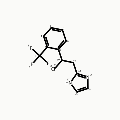 FC(F)(F)c1ccccc1C(Cl)Cc1ncc[nH]1